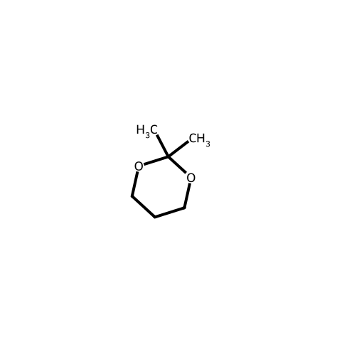 CC1(C)OCCCO1